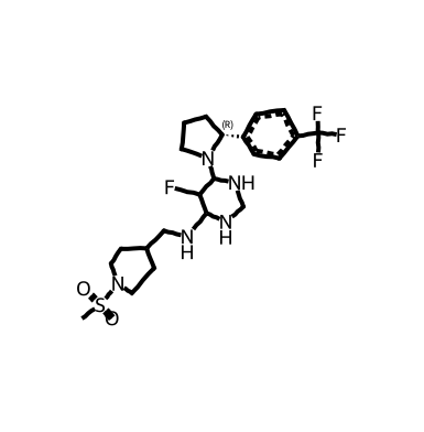 CS(=O)(=O)N1CCC(CNC2NCNC(N3CCC[C@@H]3c3ccc(C(F)(F)F)cc3)C2F)CC1